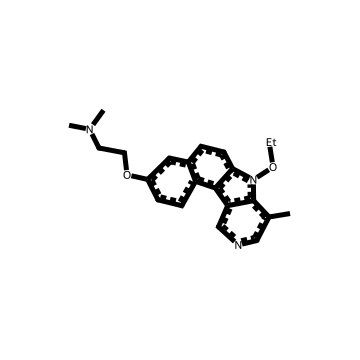 CCOn1c2ccc3cc(OCCN(C)C)ccc3c2c2cncc(C)c21